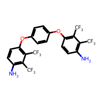 Nc1ccc(Oc2ccc(Oc3ccc(N)c(C(F)(F)F)c3C(F)(F)F)cc2)c(C(F)(F)F)c1C(F)(F)F